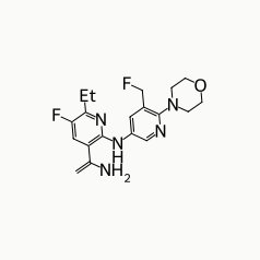 C=C(N)c1cc(F)c(CC)nc1Nc1cnc(N2CCOCC2)c(CF)c1